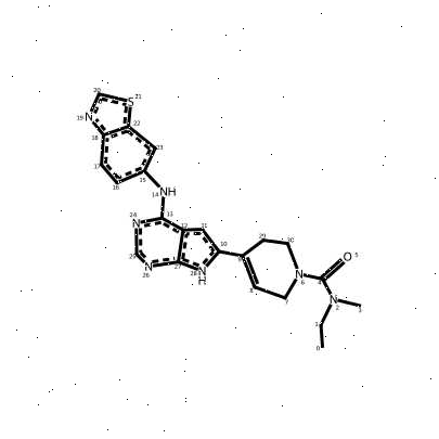 CCN(C)C(=O)N1CC=C(c2cc3c(Nc4ccc5ncsc5c4)ncnc3[nH]2)CC1